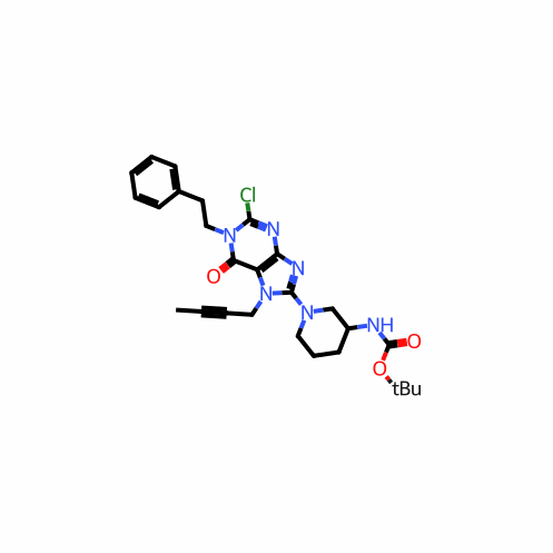 CC#CCn1c(N2CCCC(NC(=O)OC(C)(C)C)C2)nc2nc(Cl)n(CCc3ccccc3)c(=O)c21